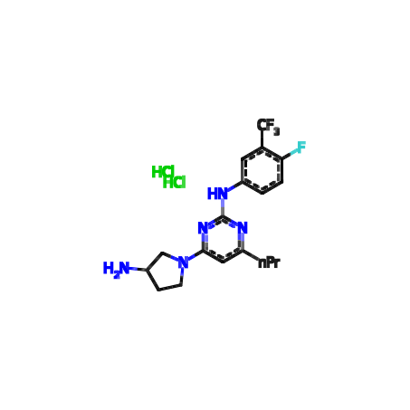 CCCc1cc(N2CCC(N)C2)nc(Nc2ccc(F)c(C(F)(F)F)c2)n1.Cl.Cl